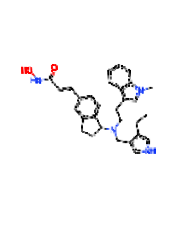 CCc1c[nH]cc1CN(CCc1cn(C)c2ccccc12)C1CCc2cc(C=CC(=O)NO)ccc21